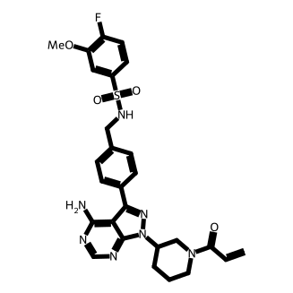 C=CC(=O)N1CCCC(n2nc(-c3ccc(CNS(=O)(=O)c4ccc(F)c(OC)c4)cc3)c3c(N)ncnc32)C1